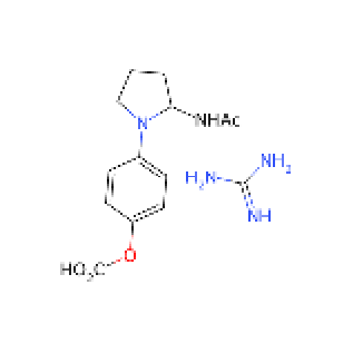 CC(=O)NC1CCCN1c1ccc(OC(=O)O)cc1.N=C(N)N